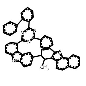 CC1c2c(sc3c2ccc2ccccc23)C=CC1c1ccc2oc3cccc(-c4nc(-c5ccccc5)nc(-c5ccccc5-c5ccccc5)n4)c3c2c1